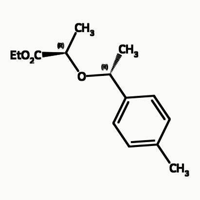 CCOC(=O)[C@@H](C)O[C@H](C)c1ccc(C)cc1